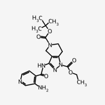 CCOC(=O)n1nc(NC(=O)c2ccncc2N)c2c1CCN(C(=O)OC(C)(C)C)C2